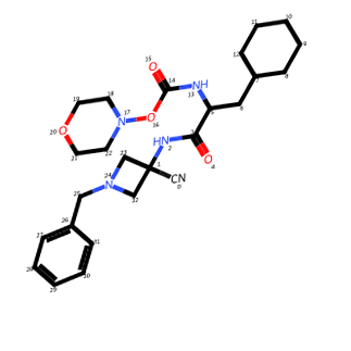 N#CC1(NC(=O)C(CC2CCCCC2)NC(=O)ON2CCOCC2)CN(Cc2ccccc2)C1